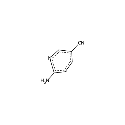 N#Cc1c[c]c(N)nc1